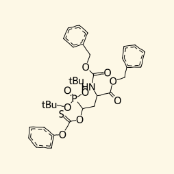 CC(C)(C)OP(=O)(OC(C)(C)C)C(CC(NC(=O)OCc1ccccc1)C(=O)OCc1ccccc1)OC(=S)Oc1ccccc1